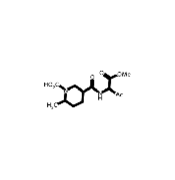 COC(=O)C(NC(=O)C1CCC(C)N(C(=O)O)C1)C(C)=O